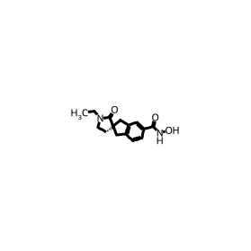 CCN1CC[C@]2(Cc3ccc(C(=O)NO)cc3C2)C1=O